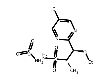 CCO[C@H](c1ncc(C)cn1)[C@H](C)S(N)(=O)=O.N[SH](=O)=O